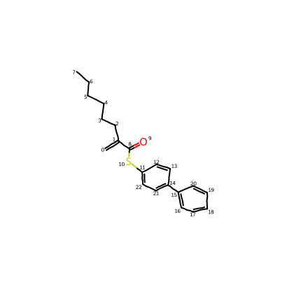 C=C(CCCCCC)C(=O)Sc1ccc(-c2ccccc2)cc1